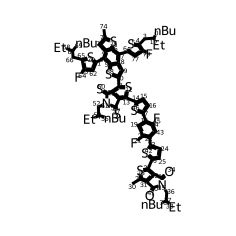 CCCCC(CC)Cc1sc(-c2c3cc(-c4sc(-c5ccc(-c6cc(F)c(-c7ccc(-c8sc(C)c9c8C(=O)N(CC(CC)CCCC)C9=O)s7)cc6F)s5)c5c4C(=S)N(CC(CC)CCCC)C5=S)sc3c(-c3cc(F)c(CC(CC)CCCC)s3)c3cc(C)sc23)cc1F